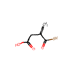 C=C(CC(=O)O)C(=O)S